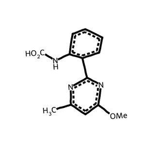 COc1cc(C)nc(-c2ccccc2NC(=O)O)n1